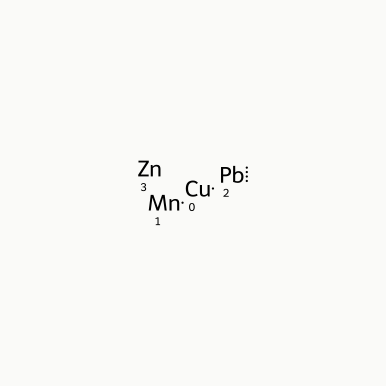 [Cu].[Mn].[Pb].[Zn]